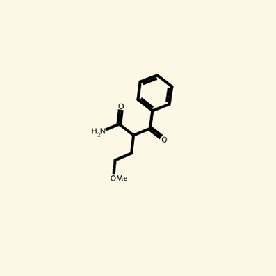 COCCC(C(N)=O)C(=O)c1ccccc1